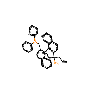 C=CCC(P)(CC=C)c1ccc2ccccc2c1-c1c(CP(c2ccccc2)c2ccccc2)ccc2ccccc12